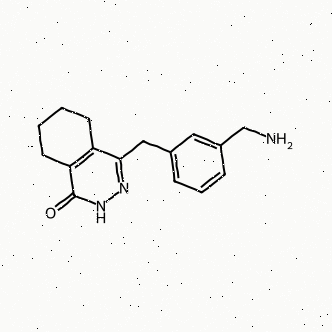 NCc1cccc(Cc2n[nH]c(=O)c3c2CCCC3)c1